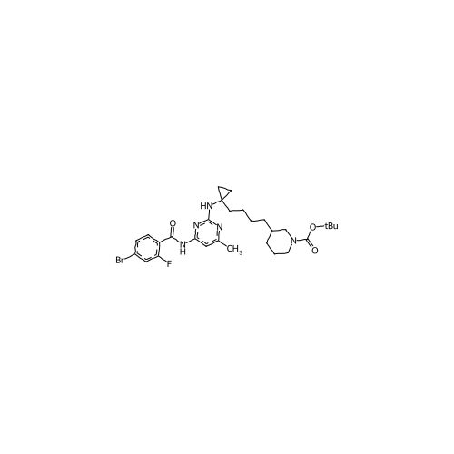 Cc1cc(NC(=O)c2ccc(Br)cc2F)nc(NC2(CCCCC3CCCN(C(=O)OC(C)(C)C)C3)CC2)n1